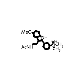 COc1ccc2[nH]c(-c3cccc([Si](C)(C)C)c3)c(CCNC(C)=O)c2c1